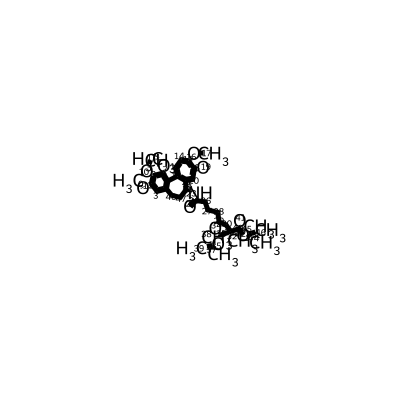 COc1cc2c(c(OC)c1OC)-c1ccc(OC)c(=O)cc1[C@@H](NC(=O)CCCCCC(C)(C(=O)OC(C)(C)C)C(=O)OC(C)(C)C)CC2